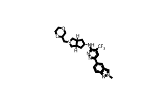 Cn1cc2cc(-c3cc(C(F)(F)F)c(N[C@@H]4C[C@@H]5CN(CC6COCCO6)C[C@@H]5C4)nn3)ccc2n1